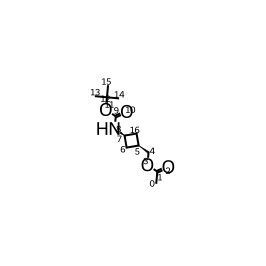 CC(=O)OC[C@H]1C[C@@H](NC(=O)OC(C)(C)C)C1